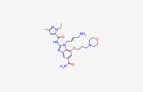 CCn1nc(C)cc1C(=O)Nc1nc2cc(C(N)=O)cc(OCCCN3CCOCC3)c2n1C/C=C/CN